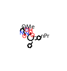 CCCc1ccc(C[C@@H]2[C@@H](Cc3ccccc3)CCCC(NC(=O)c3nccc(OC)c3O)C(=O)O[C@H]2C)cc1